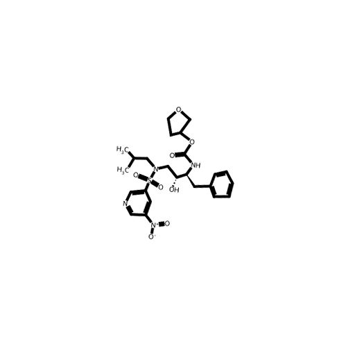 CC(C)CN(C[C@@H](O)[C@H](Cc1ccccc1)NC(=O)OC1CCOC1)S(=O)(=O)c1cncc([N+](=O)[O-])c1